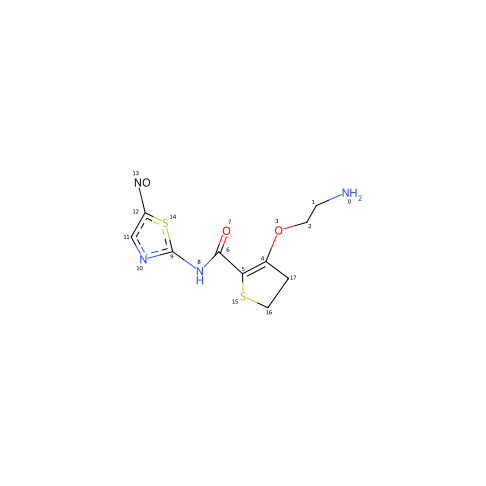 NCCOC1=C(C(=O)Nc2ncc(N=O)s2)SCC1